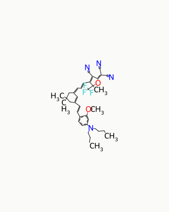 CCCCN(CCCC)c1ccc(C=CC2=CC(=CC=CC3=C(C#N)C(=C(C#N)C#N)OC3(C)C(F)(F)F)CC(C)(C)C2)c(OC)c1